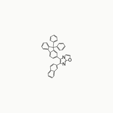 c1ccc(C2(c3ccccc3)c3ccccc3-c3ccc(-c4c(-c5ccc6ccccc6c5)nc5occn45)cc32)cc1